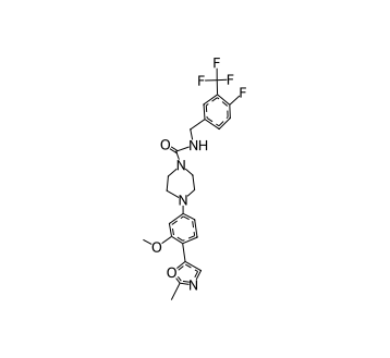 COc1cc(N2CCN(C(=O)NCc3ccc(F)c(C(F)(F)F)c3)CC2)ccc1-c1cnc(C)o1